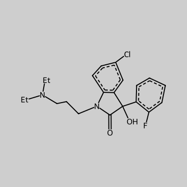 CCN(CC)CCCN1C(=O)C(O)(c2ccccc2F)c2cc(Cl)ccc21